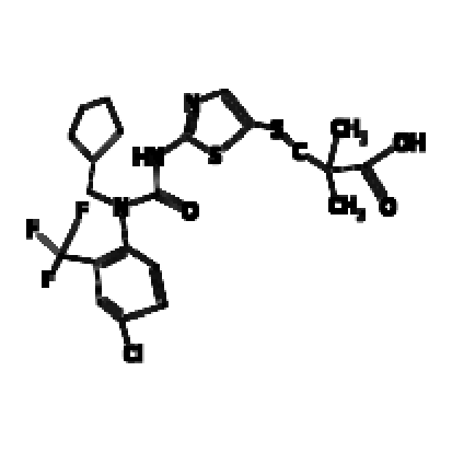 CC(C)(CSc1cnc(NC(=O)N(CC2CCCC2)c2ccc(Cl)cc2C(F)(F)F)s1)C(=O)O